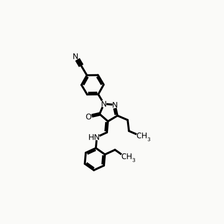 CCCC1=NN(c2ccc(C#N)cc2)C(=O)C1=CNc1ccccc1CC